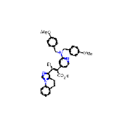 CCC(=C(C(=O)O)c1ccnc(N(Cc2ccc(OC)cc2)Cc2ccc(OC)cc2)c1)c1ncn2c1CCc1ccccc1-2